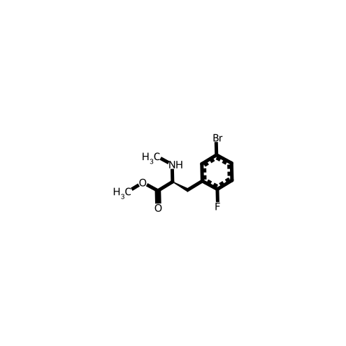 CN[C@@H](Cc1cc(Br)ccc1F)C(=O)OC